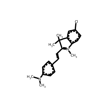 CN(C)c1ccc(/C=C/C2=[N+](C)c3ccc(Cl)cc3C2(C)C)cc1